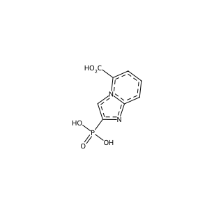 O=C(O)c1cccc2nc(P(=O)(O)O)cn12